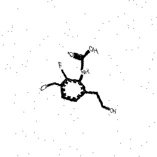 O=C(O)Nc1c(CCO)ccc(Cl)c1F